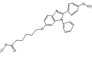 COC(=O)CCCCCOc1ccc2nc(-c3ccc(OC)cc3)n(-c3ccccc3)c2c1